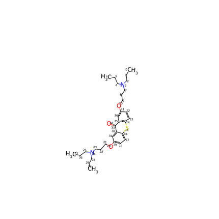 CCCN(CCC)CCCOc1ccc2sc3ccc(OCCCN(CCC)CCC)cc3c(=O)c2c1